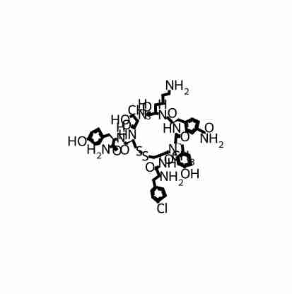 C[C@@H](O)[C@@H]1NC(=O)C(CCCCN)NC(=O)[C@@H](Cc2ccc(C(N)=O)cc2)NC(=O)[C@H](Cc2ccc(O)cc2)N(C)C(=O)[C@H](NC(=O)[C@@H](N)Cc2ccc(Cl)cc2)CSSC[C@@H](C(=O)N[C@H](Cc2ccc(O)cc2)C(N)=O)NC1=O